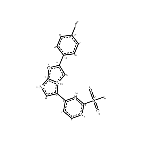 CS(=O)(=O)c1nccc(-c2cnc3oc(-c4ccc(F)cc4)cn23)n1